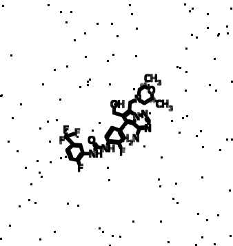 C[C@@H]1CN(Cc2c(CO)c(-c3ccc(NC(=O)Nc4cc(C(F)(F)F)ccc4F)c(F)c3)c3c(N)ncnn23)C[C@H](C)O1